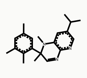 Cc1cc(C)c(C)c(C2(C)C=Nc3ncc(C(C)C)cc3N2C)c1